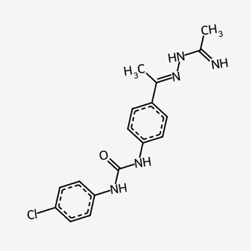 CC(=N)N/N=C(\C)c1ccc(NC(=O)Nc2ccc(Cl)cc2)cc1